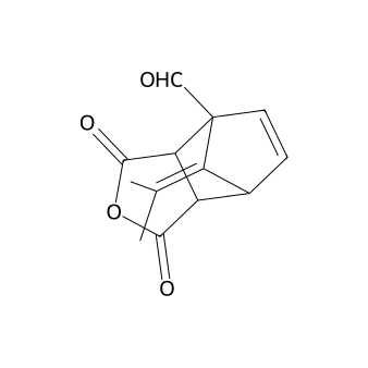 CC(C)=C1C2C=CC1(C=O)C1C(=O)OC(=O)C21